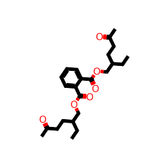 CCC(CCC(C)=O)COC(=O)c1ccccc1C(=O)OCC(CC)CCC(C)=O